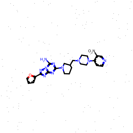 Nc1nc(N2CCCC(CN3CCN(c4ccncc4[N+](=O)[O-])CC3)C2)nc2nc(-c3ccco3)nn12